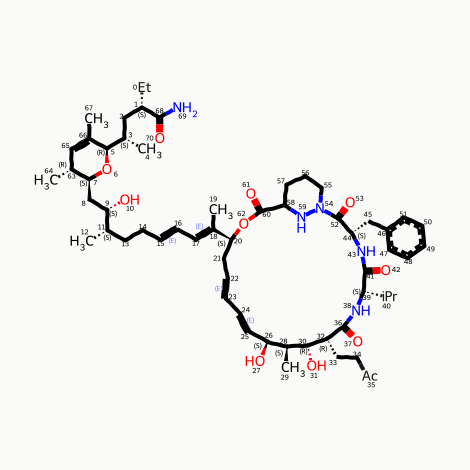 CC[C@@H](C[C@H](C)[C@H]1O[C@@H](C[C@H](O)[C@@H](C)CC/C=C/C=C(\C)[C@@H]2C/C=C/C=C/[C@H](O)[C@H](C)[C@@H](O)[C@@H](CCC(C)=O)C(=O)N[C@@H](C(C)C)C(=O)N[C@@H](Cc3ccccc3)C(=O)N3CCCC(N3)C(=O)O2)[C@H](C)C=C1C)C(N)=O